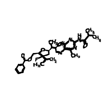 C=C(C)C1(F)C[C@H](C(C)C(C)/C=N\c2c(C)nc(NC(=O)C(C)C)nc2Cl)O[C@@H]1COC(=O)c1ccccc1